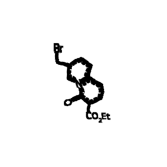 CCOC(=O)c1ccc2ccc(CBr)cn2c1=O